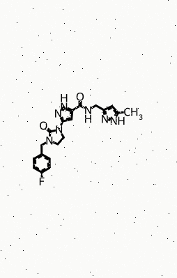 Cc1cc(CNC(=O)c2cc(N3CCN(Cc4ccc(F)cc4)C3=O)n[nH]2)n[nH]1